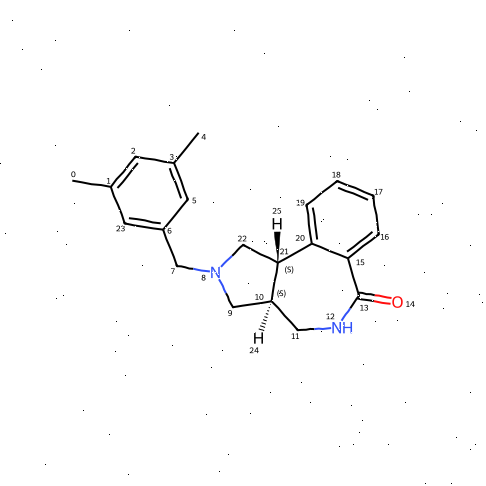 Cc1cc(C)cc(CN2C[C@@H]3CNC(=O)c4ccccc4[C@H]3C2)c1